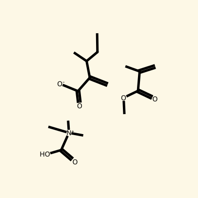 C=C(C(=O)[O-])C(C)CC.C=C(C)C(=O)OC.C[N+](C)(C)C(=O)O